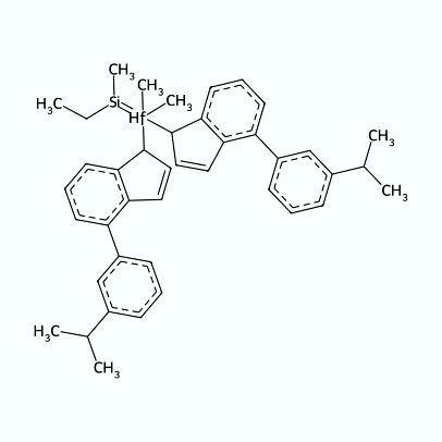 CC[Si](C)=[Hf]([CH3])([CH3])([CH]1C=Cc2c(-c3cccc(C(C)C)c3)cccc21)[CH]1C=Cc2c(-c3cccc(C(C)C)c3)cccc21